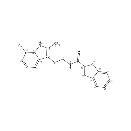 O=C(NCCc1c(C(F)(F)F)[nH]c2c(Cl)cccc12)c1cc2ccccc2o1